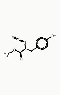 COC(=O)[C@H](Cc1ccc(O)cc1)N=[N+]=[N-]